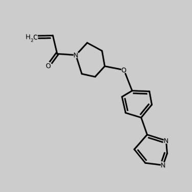 C=CC(=O)N1CCC(Oc2ccc(-c3ccncn3)cc2)CC1